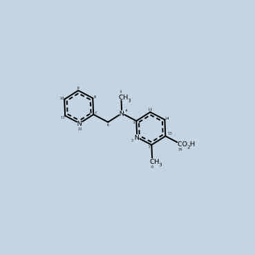 Cc1nc(N(C)Cc2ccccn2)ccc1C(=O)O